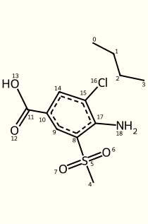 CCCC.CS(=O)(=O)c1cc(C(=O)O)cc(Cl)c1N